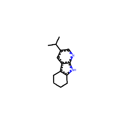 CC(C)c1cnc2[nH]c3c(c2c1)CCCC3